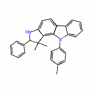 Cc1ccc(-n2c3ccccc3c3ccc4c(c32)C(C)(C)C(c2ccccc2)N4)cc1